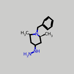 C[C@H]1CC(NN)C[C@H](C)N1Cc1ccccc1